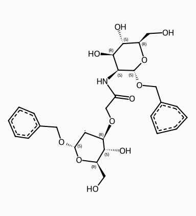 O=C(CO[C@@H]1[CH][C@@H](OCc2ccccc2)O[C@H](CO)[C@H]1O)N[C@@H]1[C@@H](OCc2ccccc2)O[C@H](CO)[C@@H](O)[C@@H]1O